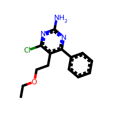 CCOCCc1c(Cl)nc(N)nc1-c1ccccc1